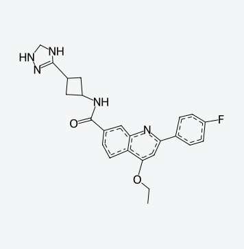 CCOc1cc(-c2ccc(F)cc2)nc2cc(C(=O)NC3CC(C4=NNCN4)C3)ccc12